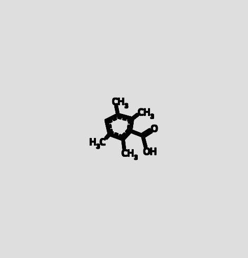 Cc1cc(C)c(C)c(C(=O)O)c1C